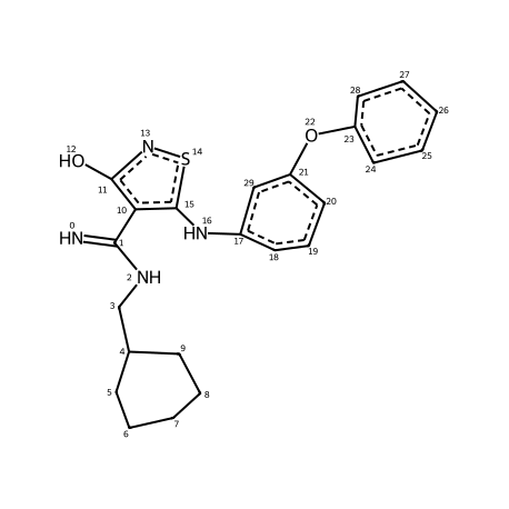 N=C(NCC1CCCCC1)c1c(O)nsc1Nc1cccc(Oc2ccccc2)c1